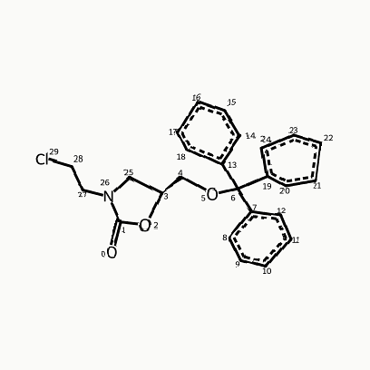 O=C1O[C@H](COC(c2ccccc2)(c2ccccc2)c2ccccc2)CN1CCCl